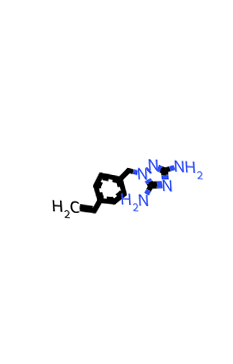 C=Cc1ccc(Cn2nc(N)nc2N)cc1